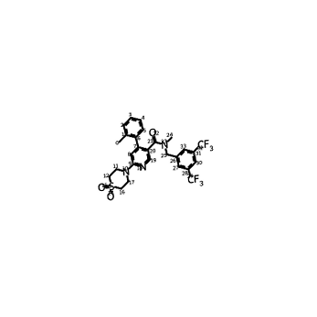 Cc1ccccc1-c1cc(N2CCS(=O)(=O)CC2)ncc1C(=O)N(C)Cc1cc(C(F)(F)F)cc(C(F)(F)F)c1